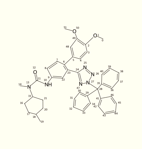 COc1ccc(-c2ccc(NC(=O)N(C)C3CCC(C)CC3)cc2-c2nnn(C(c3ccccc3)(c3ccccc3)c3ccccc3)n2)cc1OC